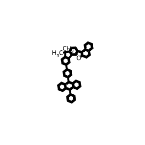 CC1(C)c2ccc(-c3ccc(-c4c5ccccc5c(-c5ccccc5)c5ccccc45)cc3)cc2-c2c1ccc1c2oc2ccc3ccccc3c21